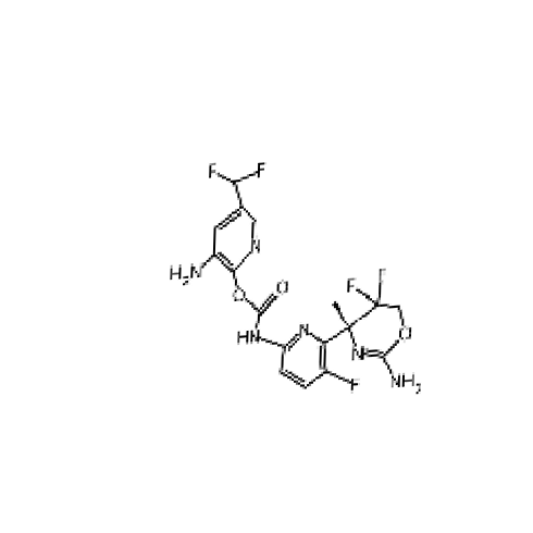 C[C@]1(c2nc(NC(=O)Oc3ncc(C(F)F)cc3N)ccc2F)N=C(N)OCC1(F)F